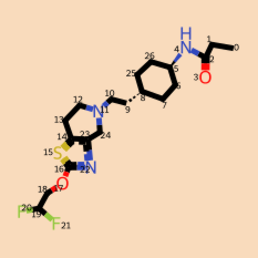 CCC(=O)N[C@H]1CC[C@H](CCN2CCc3sc(OCC(F)F)nc3C2)CC1